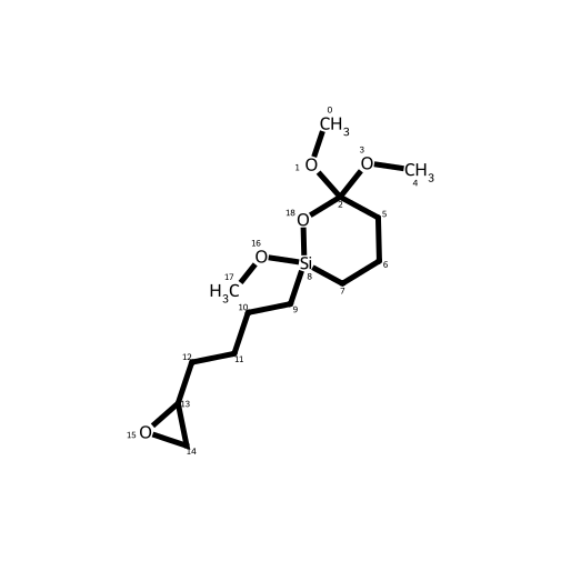 COC1(OC)CCC[Si](CCCCC2CO2)(OC)O1